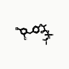 [CH2]C(C)(N=C(C)C)OC(=O)C(C)Oc1ccc(Cc2ccc(Cl)cc2Cl)cc1